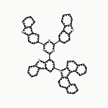 c1ccc2c(c1)ccc1c2c2c3ccccc3ccc2n1-c1cc(-c2nc(-c3ccc4sc5ccccc5c4c3)nc(-c3ccc4sc5ccccc5c4c3)n2)c2sc3ccccc3c2c1